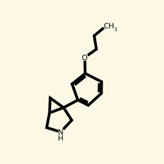 CCCOc1cccc(C23CNCC2C3)c1